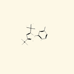 Cc1cccc(-n2nc(C(C)(C)C)cc2C(C)(C)C)c1